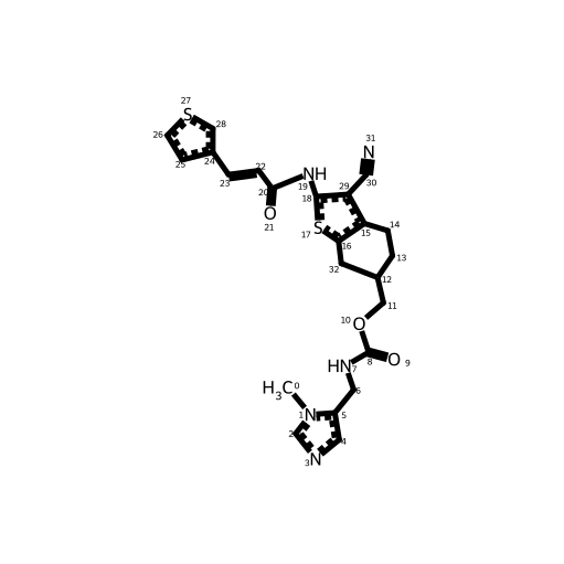 Cn1cncc1CNC(=O)OCC1CCc2c(sc(NC(=O)C=Cc3ccsc3)c2C#N)C1